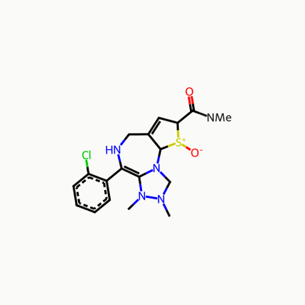 CNC(=O)C1C=C2CNC(c3ccccc3Cl)=C3N(CN(C)N3C)C2[S+]1[O-]